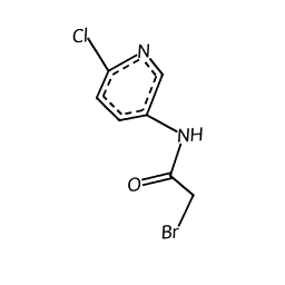 O=C(CBr)Nc1ccc(Cl)nc1